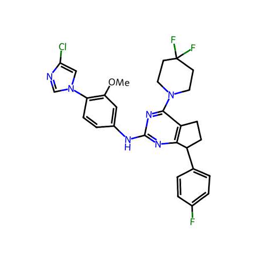 COc1cc(Nc2nc3c(c(N4CCC(F)(F)CC4)n2)CCC3c2ccc(F)cc2)ccc1-n1cnc(Cl)c1